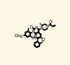 C=CC(=O)N1CCN(c2nc(=O)n(-c3c(C)cc(C=O)cc3C(C)C)c3nc(-c4ccccc4F)c(Cl)cc23)[C@@H](C)C1